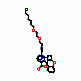 O=C1OC2(c3ccccc3Oc3cccc(N4CCC4)c32)c2cc(C#CCCOCCOCCCCCCCl)ccc21